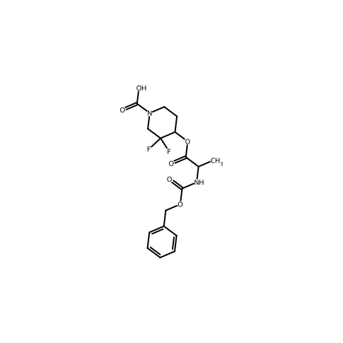 CC(NC(=O)OCc1ccccc1)C(=O)OC1CCN(C(=O)O)CC1(F)F